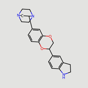 c1cc2c(cc1C1COc3cc(C4CN5CCN4CC5)ccc3O1)CCN2